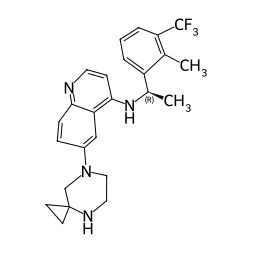 Cc1c([C@@H](C)Nc2ccnc3ccc(N4CCNC5(CC5)C4)cc23)cccc1C(F)(F)F